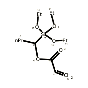 C=CC(=O)OC(CCC)[Si](OCC)(OCC)OCC